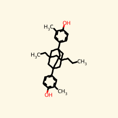 CCCC12CC3(CC)CC(c4ccc(O)c(C)c4)(C1)CC(c1ccc(O)c(C)c1)(C3)C2